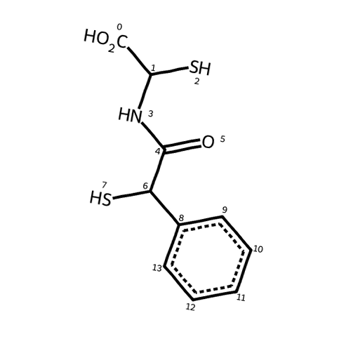 O=C(O)C(S)NC(=O)C(S)c1ccccc1